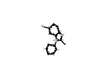 Cc1nc2ccc(F)cc2n1-c1ccccc1